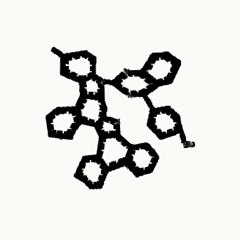 Cc1ccc2c(c1)c1c3ccccc3c3c(sc4c5ccccc5c5ccccc5c43)c1n2-c1nc(-c2ccc(C(C)(C)C)cc2)c2ccccc2n1